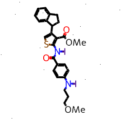 COCCCN(I)c1ccc(C(=O)N(I)c2scc(C3CCc4ccccc43)c2C(=O)OC)cc1